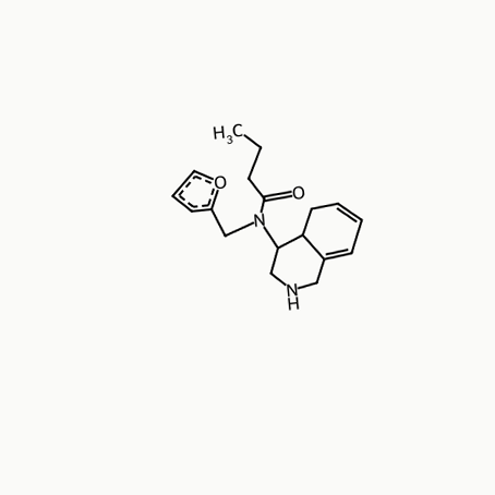 CCCC(=O)N(Cc1ccco1)C1CNCC2=CC=CCC21